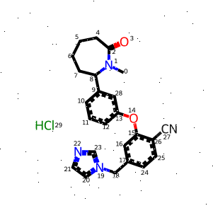 CN1C(=O)CCCCC1c1cccc(Oc2cc(Cn3ccnc3)ccc2C#N)c1.Cl